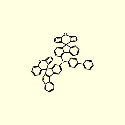 c1ccc(-c2ccc(N(c3ccc4c(c3)C3(c5ccccc5Sc5ccccc53)c3ccc5ccccc5c3-4)c3cccc4c3-c3ccccc3C43c4ccccc4Oc4ccccc43)cc2)cc1